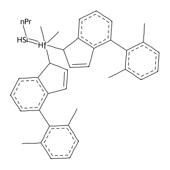 CCC[SiH]=[Hf]([CH3])([CH3])([CH]1C=Cc2c(-c3c(C)cccc3C)cccc21)[CH]1C=Cc2c(-c3c(C)cccc3C)cccc21